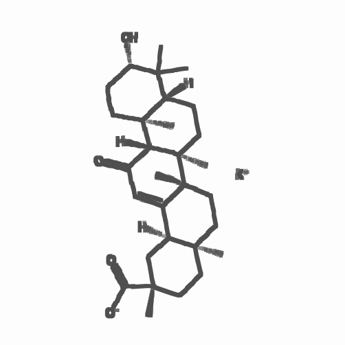 CC1(C)[C@@H](O)CC[C@]2(C)[C@H]3C(=O)C=C4[C@@H]5C[C@@](C)(C(=O)[O-])CC[C@]5(C)CC[C@@]4(C)[C@]3(C)CC[C@@H]12.[K+]